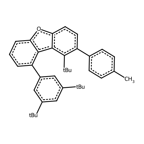 Cc1ccc(-c2ccc3oc4cccc(-c5cc(C(C)(C)C)cc(C(C)(C)C)c5)c4c3c2C(C)(C)C)cc1